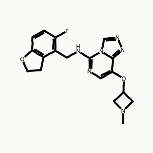 CN1CC(Oc2cnc(NCc3c(F)ccc4c3CCO4)n3cnnc23)C1